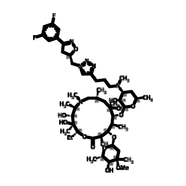 CC[C@H]1OC(=O)[C@H](C)[C@@H](O[C@H]2C[C@@](C)(OC)[C@@H](O)[C@H](C)O2)[C@H](C)[C@@H](O[C@@H]2O[C@H](C)C[C@H](N(C)CCCc3cn(C[C@H]4CC(c5cc(F)cc(F)c5)=NO4)nn3)[C@H]2O)[C@](C)(O)C[C@@H](C)CN(C)[C@H](C)[C@@H](O)[C@]1(C)O